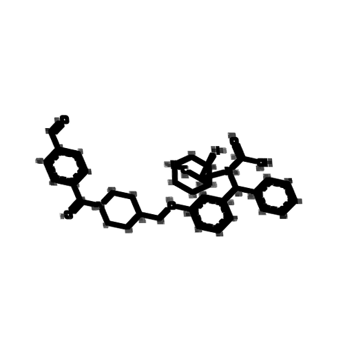 O=Cc1ccc(C(=O)N2CCC(COc3cccc(C(c4ccccc4)N(C(=O)O)[C@H]4CN5CCC4CC5)c3)CC2)cc1